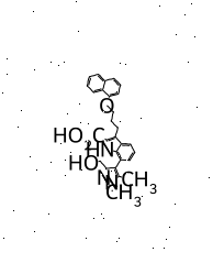 Cc1c(-c2cccc3c(CCCOc4cccc5ccccc45)c(C(=O)O)[nH]c23)c(CO)nn1C